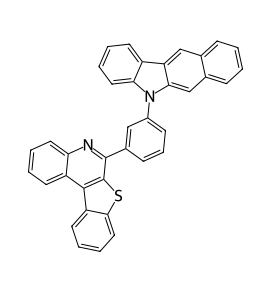 c1cc(-c2nc3ccccc3c3c2sc2ccccc23)cc(-n2c3ccccc3c3cc4ccccc4cc32)c1